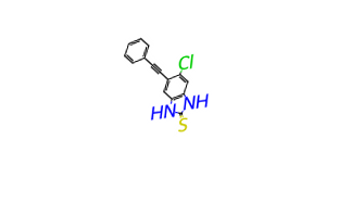 S=c1[nH]c2cc(Cl)c(C#Cc3ccccc3)cc2[nH]1